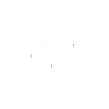 [Cl-].[Cl-].[Sn+2].c1c[nH]cn1